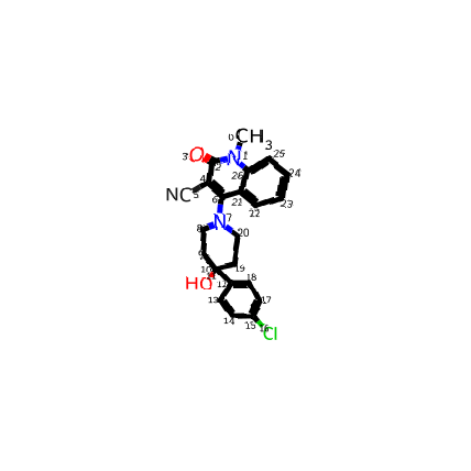 Cn1c(=O)c(C#N)c(N2CCC(O)(c3ccc(Cl)cc3)CC2)c2ccccc21